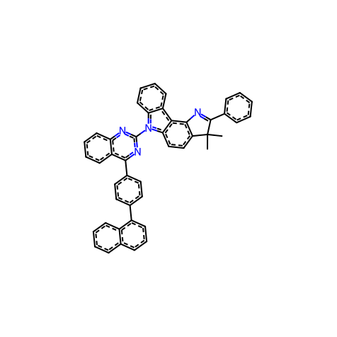 CC1(C)C(c2ccccc2)=Nc2c1ccc1c2c2ccccc2n1-c1nc(-c2ccc(-c3cccc4ccccc34)cc2)c2ccccc2n1